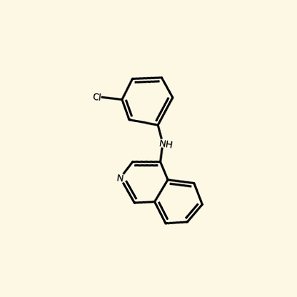 Clc1cccc(Nc2cncc3ccccc23)c1